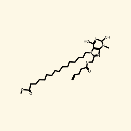 C=CCCC(=O)OCc1nc2c(n1CCCCCCCCCCCCCCCC(=O)OC)C(O)=NC(O)N2C